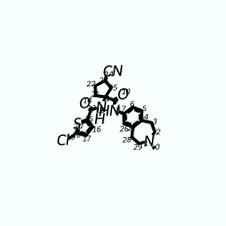 CN1CCc2ccc(NC(=O)C3(NC(=O)c4ccc(Cl)s4)CCC(C#N)C3)cc2CC1